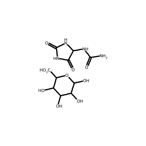 NC(=O)NC1NC(=O)NC1=O.O=C(O)C1OC(O)C(O)C(O)C1O